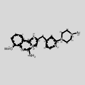 COc1cccc2c1nc(N)n1cc(Cc3ccnc(N4CCN(C(C)=O)CC4)c3)nc21